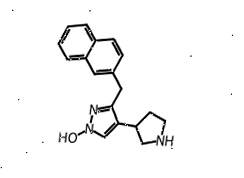 On1cc(C2CCNC2)c(Cc2ccc3ccccc3c2)n1